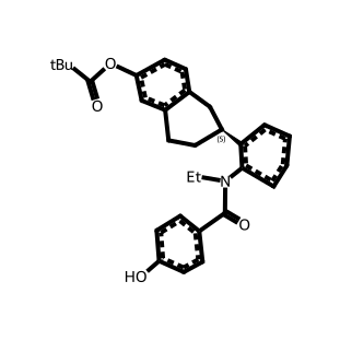 CCN(C(=O)c1ccc(O)cc1)c1ccccc1[C@H]1CCc2cc(OC(=O)C(C)(C)C)ccc2C1